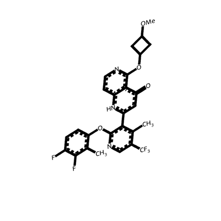 COC1CC(Oc2nccc3[nH]c(-c4c(Oc5ccc(F)c(F)c5C)ncc(C(F)(F)F)c4C)cc(=O)c23)C1